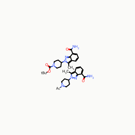 CC(=O)N1CCC(n2nc3c(C(N)=O)cccc3c2C)CC1.Cc1c2cccc(C(N)=O)c2nn1C1CCN(C(=O)OC(C)(C)C)CC1